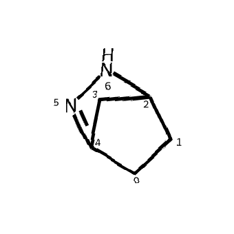 C1CC2CC1=NN2